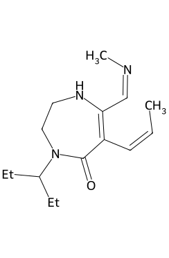 C/C=C\C1=C(/C=N\C)NCCN(C(CC)CC)C1=O